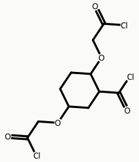 O=C(Cl)COC1CCC(OCC(=O)Cl)C(C(=O)Cl)C1